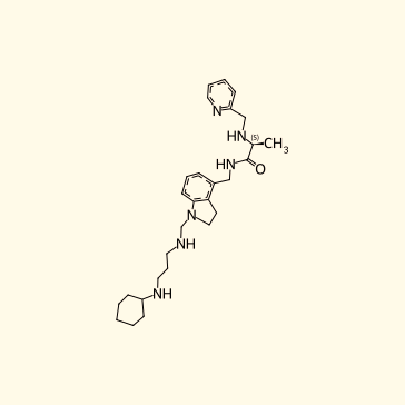 C[C@H](NCc1ccccn1)C(=O)NCc1cccc2c1CCN2CNCCCNC1CCCCC1